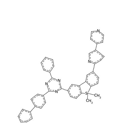 C[Si]1(C)c2ccc(-c3ccc(-c4ccncc4)cn3)cc2-c2cc(-c3nc(-c4ccccc4)nc(-c4ccc(-c5ccccc5)cc4)n3)ccc21